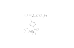 CCN(C(=O)c1ccc(CC(C=O)=CC(=O)O)cc1)N1CCOCC1